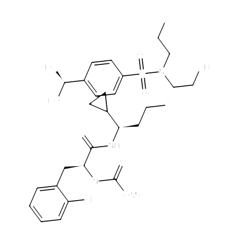 COC(=O)N[C@@H](Cc1ccccc1Cl)C(=O)N[C@H](CCC[C@@H](CO)N(CCC(C)C)S(=O)(=O)c1ccc([C@H](C)O)cc1)C1CC1